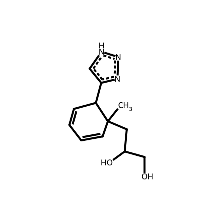 CC1(CC(O)CO)C=CC=CC1c1c[nH]nn1